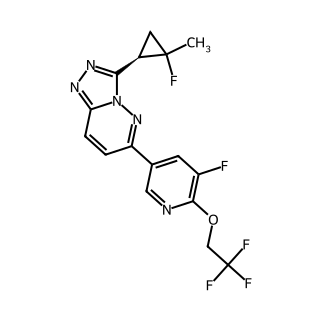 CC1(F)C[C@@H]1c1nnc2ccc(-c3cnc(OCC(F)(F)F)c(F)c3)nn12